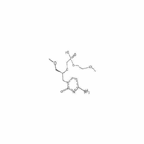 COCCOP(=O)(O)CO[C@H](COC)Cn1ccc(N)nc1=O